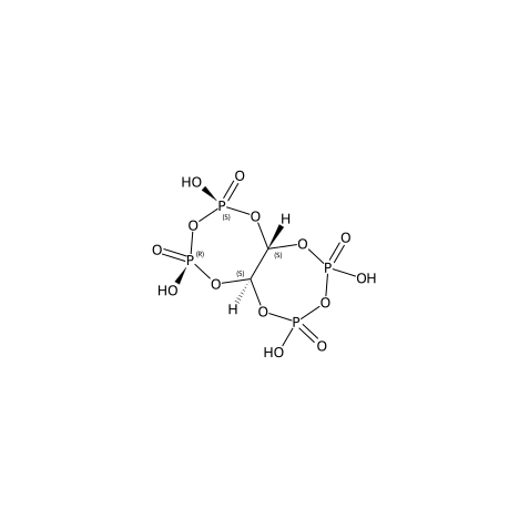 O=P1(O)O[C@H]2O[P@](=O)(O)O[P@](=O)(O)O[C@@H]2OP(=O)(O)O1